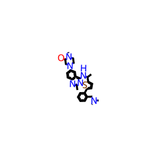 Cc1nc(NC(C)c2ccc(-c3ccccc3CN(C)C)s2)c2cc(N3CCN(C)C(=O)C3)ccc2n1